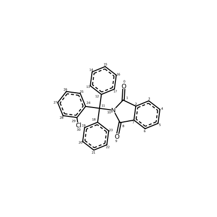 O=C1c2ccccc2C(=O)N1C(c1ccccc1)(c1ccccc1)c1ccccc1Cl